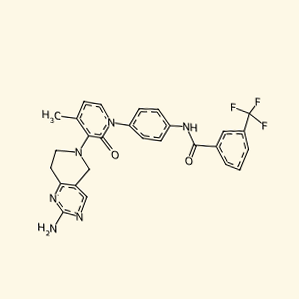 Cc1ccn(-c2ccc(NC(=O)c3cccc(C(F)(F)F)c3)cc2)c(=O)c1N1CCc2nc(N)ncc2C1